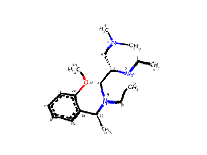 CCN[C@@H](CN(C)C)CN(CC)[C@@H](C)c1ccccc1OC